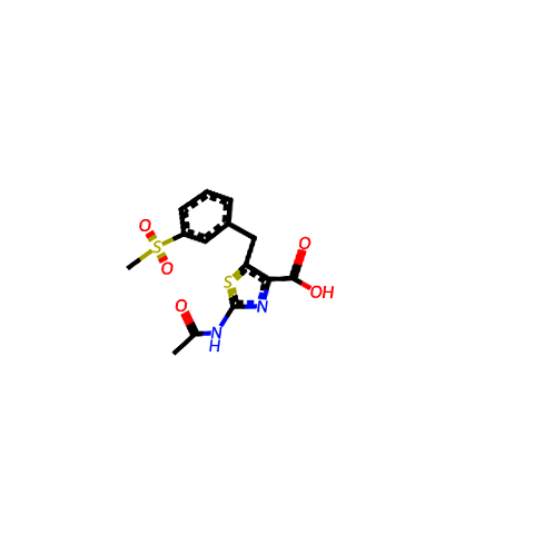 CC(=O)Nc1nc(C(=O)O)c(Cc2cccc(S(C)(=O)=O)c2)s1